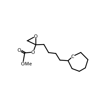 COC(=O)OC1(CCCCC2CCCCCC2)CO1